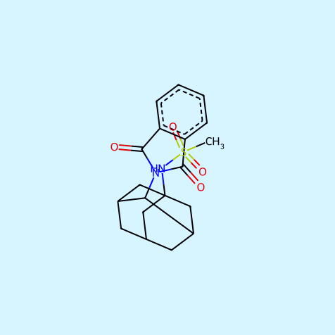 CS(=O)(=O)NC12CC3CC(C1)C(N1C(=O)c4ccccc4C1=O)C(C3)C2